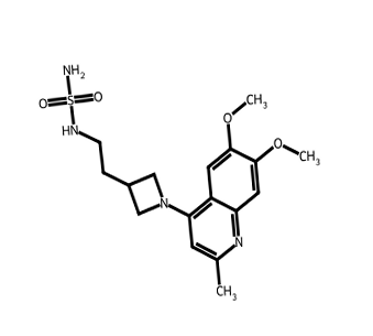 COc1cc2nc(C)cc(N3CC(CCNS(N)(=O)=O)C3)c2cc1OC